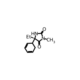 CC[C@@]1(C2C=CC=CC2)NC(=O)N(C)C1=O